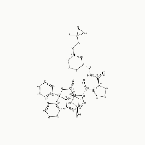 CC1(CCN2CCC[C@@H](CNC(=O)[C@H]3CCCN3C(=O)[C@@H]3C[C@@H](O)CN3C(=O)CC(c3ccccc3)(c3ccccc3)c3ccccc3)C2)CC1